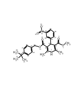 COC(=O)C1=C(C)NC(C)=C(C(=O)OCc2ccc(C(C)(C)C)cc2)C1c1cccc([N+](=O)[O-])c1